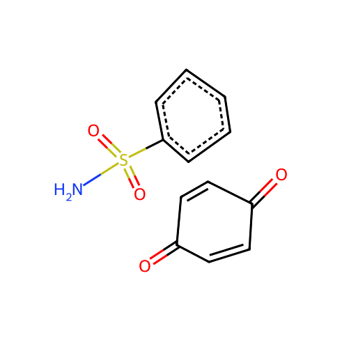 NS(=O)(=O)c1ccccc1.O=C1C=CC(=O)C=C1